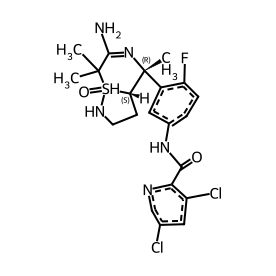 CC1(C)C(N)=N[C@](C)(c2cc(NC(=O)c3ncc(Cl)cc3Cl)ccc2F)[C@@H]2CCN[SH]21=O